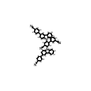 N#Cc1ccc(-c2ccc3c(c2)c2ccccc2n3-c2cc(-c3cccc(C#N)c3)c(-n3c4ccccc4c4cc(-c5ccc(C#N)cc5)ccc43)cc2C#N)cc1